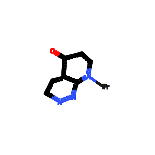 CC(C)n1ccc(=O)c2ccnnc21